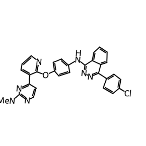 CNc1nccc(-c2cccnc2Oc2ccc(Nc3nnc(-c4ccc(Cl)cc4)c4ccccc34)cc2)n1